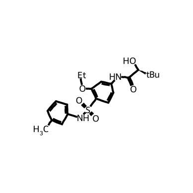 CCOc1cc(NC(=O)[C@@H](O)C(C)(C)C)ccc1S(=O)(=O)Nc1cccc(C)c1